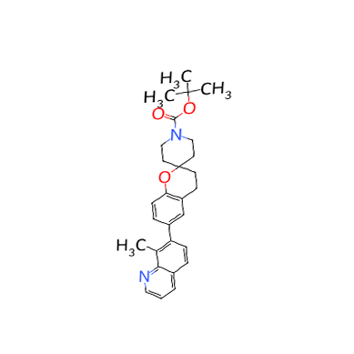 Cc1c(-c2ccc3c(c2)CCC2(CCN(C(=O)OC(C)(C)C)CC2)O3)ccc2cccnc12